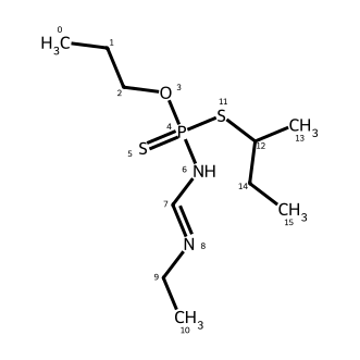 CCCOP(=S)(NC=NCC)SC(C)CC